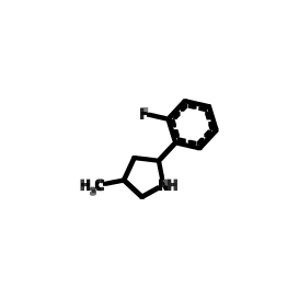 CC1CNC(c2ccccc2F)C1